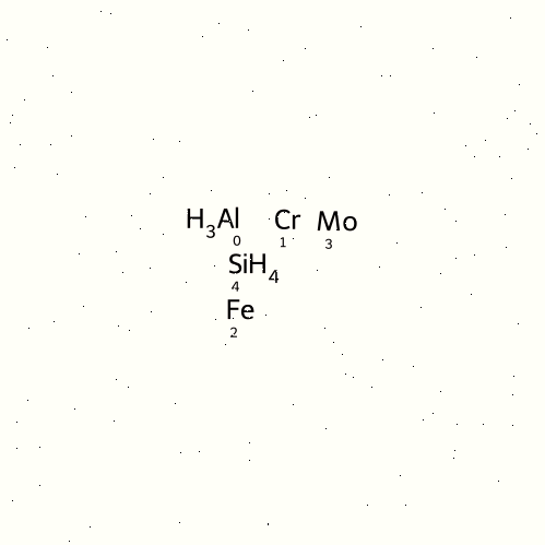 [AlH3].[Cr].[Fe].[Mo].[SiH4]